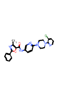 O=C(Nc1ccc(N2CCN(c3ncccc3Cl)CC2)nc1)c1oc(-c2ccccc2)nc1C(F)(F)F